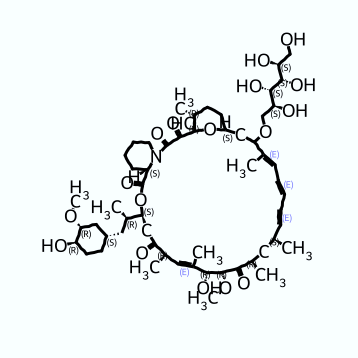 CO[C@@H]1C[C@H](C[C@@H](C)[C@@H]2CC(=O)[C@H](C)/C=C(\C)[C@@H](O)[C@@H](OC)C(=O)[C@H](C)C[C@H](C)/C=C/C=C/C=C(\C)C(OC[C@H](O)[C@H](O)[C@@H](O)[C@@H](O)CO)C[C@@H]3CC[C@@H](C)[C@@](O)(O3)C(=O)C(=O)N3CCCC[C@H]3C(=O)O2)CC[C@H]1O